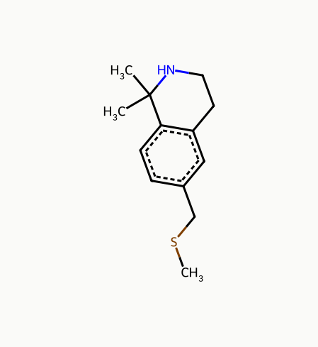 CSCc1ccc2c(c1)CCNC2(C)C